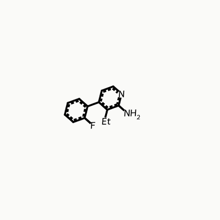 CCc1c(-c2ccccc2F)ccnc1N